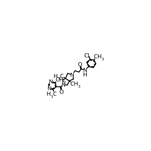 Cc1ccc(NC(=O)CCN2CC3(C)CN(C(=O)c4c(C)ncnc4C)CC3(C)C2)cc1Cl